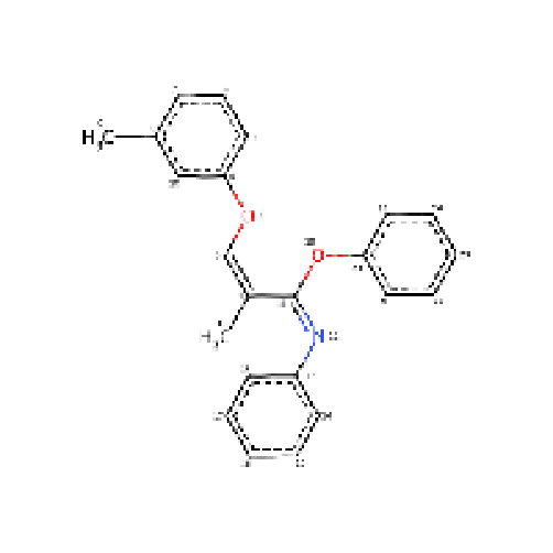 CC(=COc1cccc(C)c1)C(=Nc1ccccc1)Oc1ccccc1